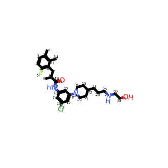 Cc1ccc(F)c(CC(C)C(=O)Nc2cc(Cl)cc(N3CCC(CCCNCCO)CC3)c2)c1C